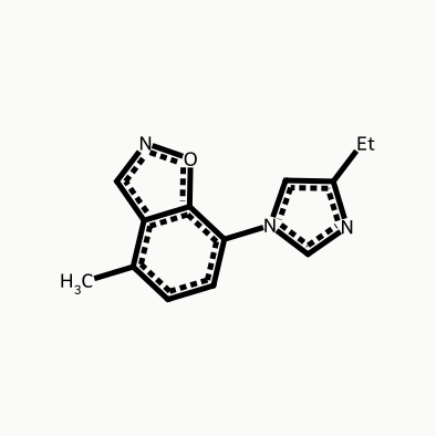 CCc1cn(-c2ccc(C)c3cnoc23)cn1